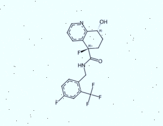 O=C(NCc1ccc(F)cc1C(F)(F)F)[C@@]1(F)CC[C@@H](O)c2ncccc21